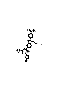 [CH2]CN(C[CH2])c1ccc(-c2nc3cc(C(CC(N)=O)NCc4ccc(Br)s4)ccc3n2CCN)cc1